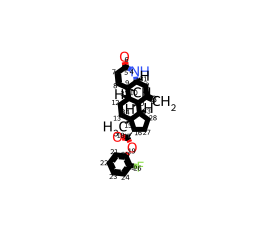 C=C1C[C@H]2NC(=O)C=C[C@]2(C)[C@H]2CC[C@]3(C)[C@@H](C(=O)Oc4ccccc4F)CC[C@H]3[C@H]12